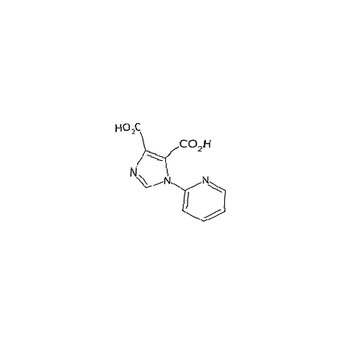 O=C(O)c1ncn(-c2ccccn2)c1C(=O)O